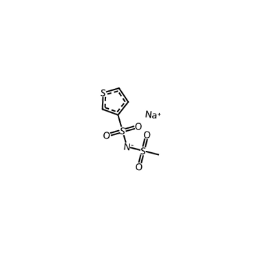 CS(=O)(=O)[N-]S(=O)(=O)c1ccsc1.[Na+]